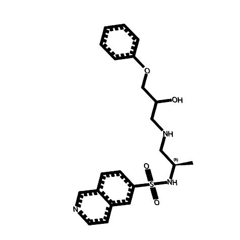 C[C@H](CNCC(O)COc1ccccc1)NS(=O)(=O)c1ccc2cnccc2c1